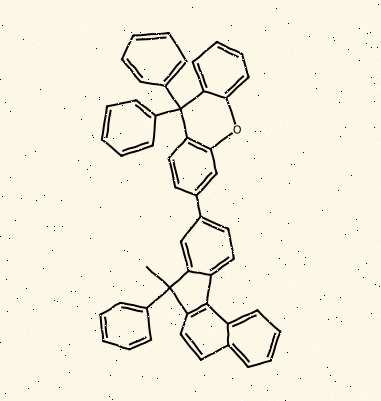 CC1(c2ccccc2)c2cc(-c3ccc4c(c3)Oc3ccccc3C4(c3ccccc3)c3ccccc3)ccc2-c2c1ccc1ccccc21